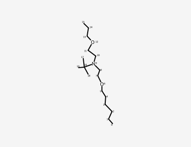 CCCCCCOCCN(CCOCCC)C(C)(C)C